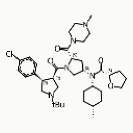 CN1CCN(C(=O)[C@@H]2C[C@H](N(C(=O)[C@@H]3CCCO3)[C@H]3CC[C@@H](C)CC3)CN2C(=O)[C@H]2CN(C(C)(C)C)C[C@H]2c2ccc(Cl)cc2)CC1